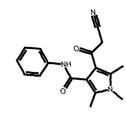 Cc1c(C(=O)CC#N)c(C(=O)Nc2ccccc2)c(C)n1C